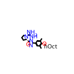 CCCCCCCCOc1c(C)cc(-c2noc([C@@H]3CCCN3C(=N)N)n2)cc1C